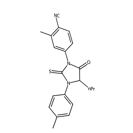 [C-]#[N+]c1ccc(N2C(=O)C(CCC)N(c3ccc(C)cc3)C2=S)cc1C